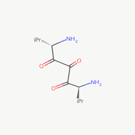 CC(C)[C@H](N)C(=O)C(=O)C(=O)[C@@H](N)C(C)C